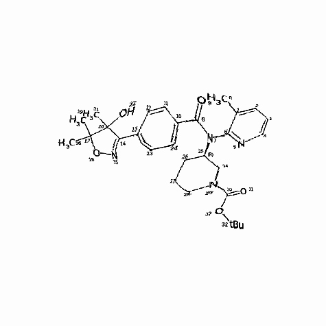 Cc1cccnc1N(C(=O)c1ccc(C2=NOC(C)(C)C2(C)O)cc1)[C@@H]1CCCN(C(=O)OC(C)(C)C)C1